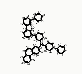 c1ccc(-c2ccc(N(c3cccc(-c4cccc5c4oc4c(-c6ccccc6)cccc45)c3)c3ccc4c(ccc5ccccc54)c3)cc2)cc1